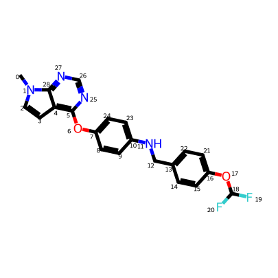 Cn1ccc2c(Oc3ccc(NCc4ccc(OC(F)F)cc4)cc3)ncnc21